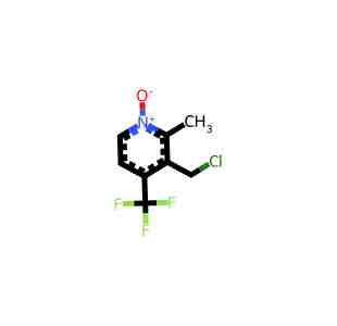 Cc1c(CCl)c(C(F)(F)F)cc[n+]1[O-]